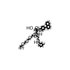 Cc1ccnc(NCCCC(=O)N[C@@H](COCCOCCOCCOCCC(C)C)C(=O)N[C@H](CC(=O)O)c2ccc(-c3cccc4ccccc34)cc2)c1